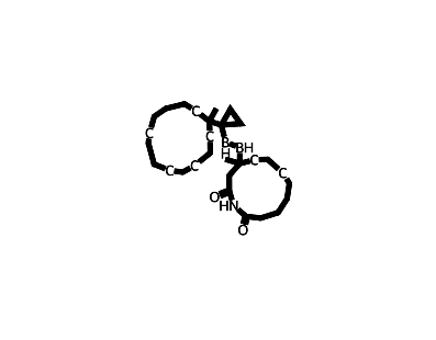 CC1(BBC2(C3(C)CCCCCCCCCCCC3)CC2)CCCCCCCC(=O)NC(=O)C1